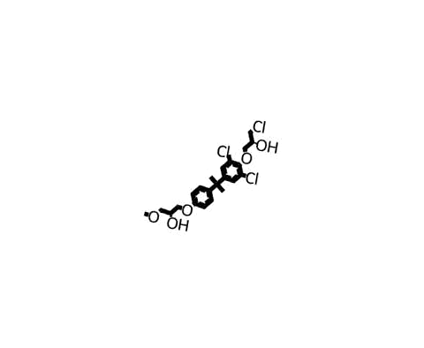 COC[C@H](O)COc1ccc(C(C)(C)c2cc(Cl)c(OC[C@@H](O)CCl)c(Cl)c2)cc1